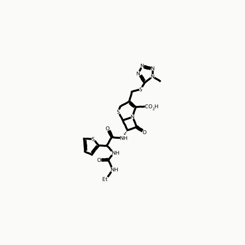 CCNC(=O)NC(C(=O)N[C@H]1C(=O)N2C(C(=O)O)=C(CSc3nnnn3C)CSC12)c1cccs1